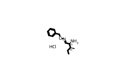 CC[C@H](C)[C@H](N)C=NOCc1ccccc1.Cl